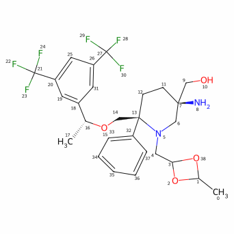 CC1OC(CN2C[C@@](N)(CO)CC[C@@]2(CO[C@H](C)c2cc(C(F)(F)F)cc(C(F)(F)F)c2)c2ccccc2)O1